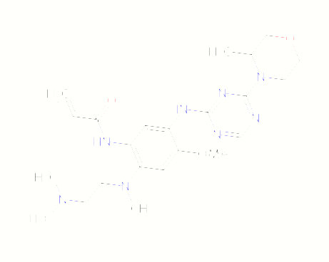 C=CC(=O)Nc1cc(Nc2ncnc(N3CCOCC3C)n2)c(OC)cc1N(C)CCN(C)C